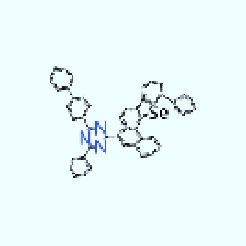 c1ccc(-c2ccc(-c3nc(-c4ccccc4)nc(-c4cc5ccccc5c5c4ccc4c6cccc(-c7ccccc7)c6[se]c45)n3)cc2)cc1